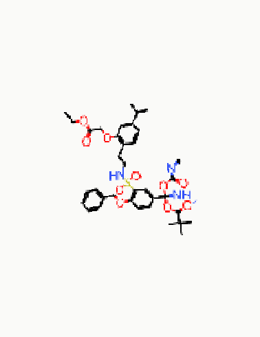 C=NC(=O)OC(N)(OC(=O)C(C)(C)C)c1ccc(OCc2ccccc2)c(S(=O)(=O)NCCc2ccc(C(C)C)cc2OCC(=O)OCC)c1